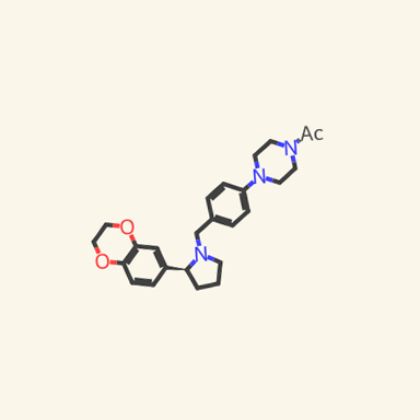 CC(=O)N1CCN(c2ccc(CN3CCC[C@H]3c3ccc4c(c3)OCCO4)cc2)CC1